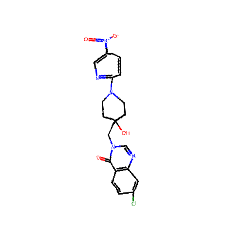 O=c1c2ccc(Cl)cc2ncn1CC1(O)CCN(c2ccc([N+](=O)[O-])cn2)CC1